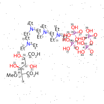 CCN(CC)CC.CCN(CC)CC.CCN(CC)CC.CCN(CC)CC.CO[C@@](C)(C(=O)O)[C@@H](O)[C@@H](O)[C@H](O)C(=O)O.O=P(O)(O)OP(=O)(O)O.O=P(O)(O)OP(=O)(O)O